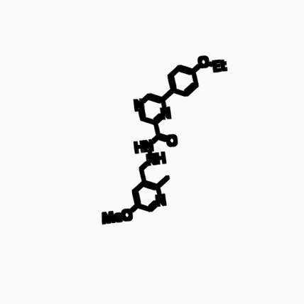 CCOc1ccc(-c2cncc(C(=O)NNCc3cc(OC)cnc3C)n2)cc1